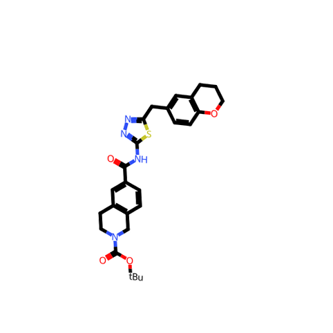 CC(C)(C)OC(=O)N1CCc2cc(C(=O)Nc3nnc(Cc4ccc5c(c4)CCCO5)s3)ccc2C1